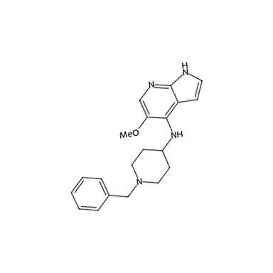 COc1cnc2[nH]ccc2c1NC1CCN(Cc2ccccc2)CC1